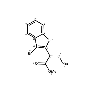 COC(=O)C(OC(C)(C)C)c1sc2ccccc2c1Br